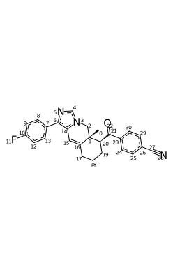 C[C@]12Cn3cnc(-c4ccc(F)cc4)c3C=C1CCC[C@@H]2C(=O)c1ccc(C#N)cc1